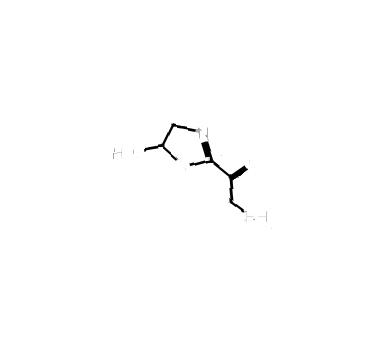 BCC(=O)C1=NCC(C)S1